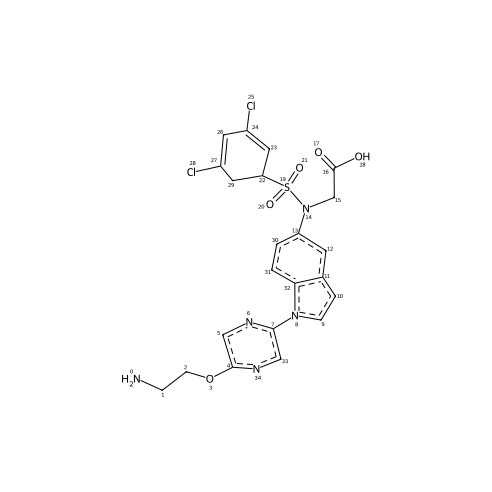 NCCOc1cnc(-n2ccc3cc(N(CC(=O)O)S(=O)(=O)C4C=C(Cl)C=C(Cl)C4)ccc32)cn1